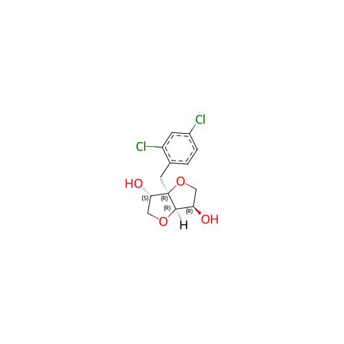 O[C@@H]1CO[C@@]2(Cc3ccc(Cl)cc3Cl)[C@@H]1OC[C@@H]2O